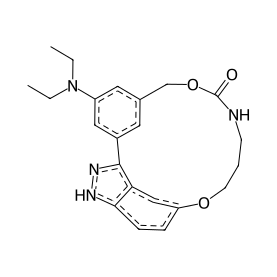 CCN(CC)c1cc2cc(c1)-c1n[nH]c3ccc(cc13)OCCCNC(=O)OC2